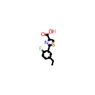 CCc1ccc(F)c(-c2nc(C(=O)O)cs2)c1